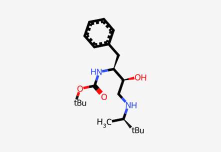 C[C@@H](NC[C@H](O)[C@H](Cc1ccccc1)NC(=O)OC(C)(C)C)C(C)(C)C